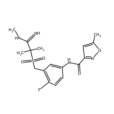 CNC(=N)C(C)(C)S(=O)(=O)Cc1cc(NC(=O)c2cc(C)on2)ccc1F